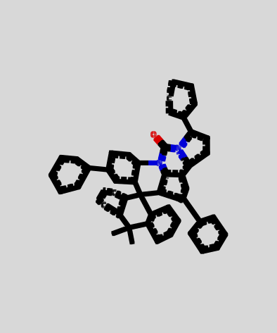 CC1(C)c2ccccc2C2(c3cc(-c4ccccc4)ccc3-n3c(=O)n4c(-c5ccccc5)ccc4c4cc(-c5ccccc5)cc2c43)c2ccccc21